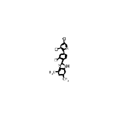 FC(F)(F)c1cc(C(F)(F)F)c2nc(-c3ccc(-c4ncc(Cl)cc4Cl)cc3Cl)[nH]c2c1